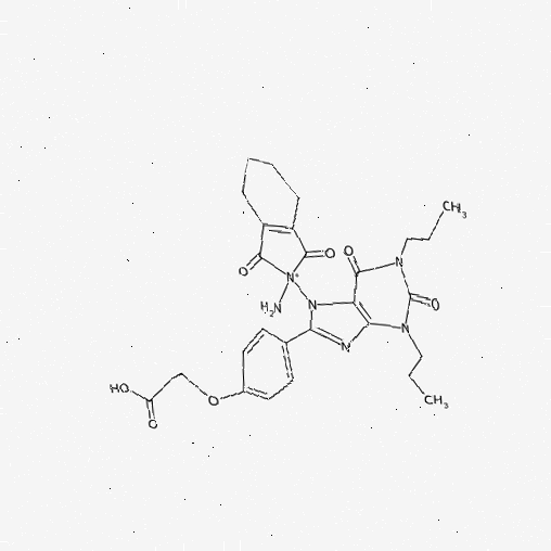 CCCn1c(=O)c2c(nc(-c3ccc(OCC(=O)O)cc3)n2[N+]2(N)C(=O)C3=C(CCCC3)C2=O)n(CCC)c1=O